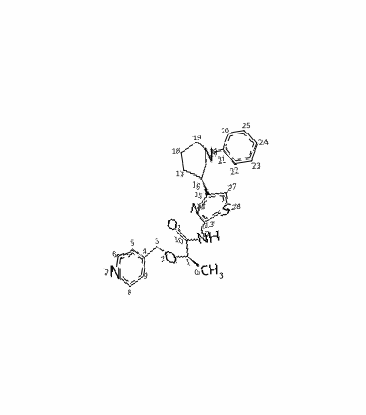 C[C@@H](OCc1ccncc1)C(=O)Nc1nc([C@H]2CCCN2c2ccccc2)cs1